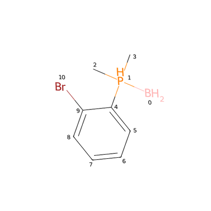 B[PH](C)(C)c1ccccc1Br